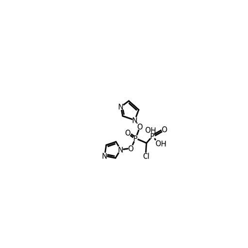 O=P(O)(O)C(Cl)P(=O)(On1ccnc1)On1ccnc1